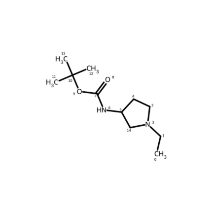 CCN1CCC(NC(=O)OC(C)(C)C)C1